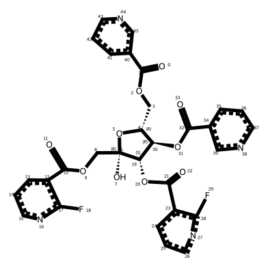 O=C(OC[C@H]1O[C@](O)(COC(=O)c2cccnc2F)[C@@H](OC(=O)c2cccnc2F)[C@@H]1OC(=O)c1cccnc1)c1cccnc1